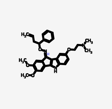 C=CCC(O/N=C1\c2cc(OC)c(OC)cc2-c2[nH]c3ccc(OCCN(C)C)cc3c21)c1ccccc1